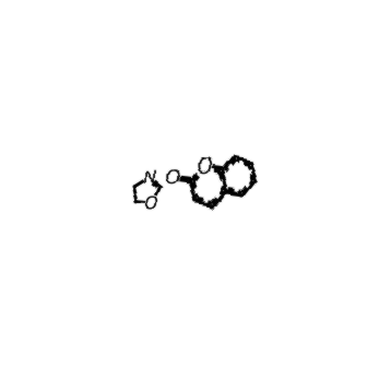 C1=NCCO1.O=c1ccc2ccccc2o1